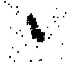 COc1ccc(-c2sc(NC(=O)C3CCCC3)nc2C)cc1S(=O)(=O)Nc1cccc(F)c1